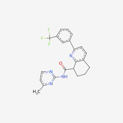 Cc1ccnc(NC(=O)C2CCCc3ccc(-c4cccc(C(F)(F)F)c4)nc32)n1